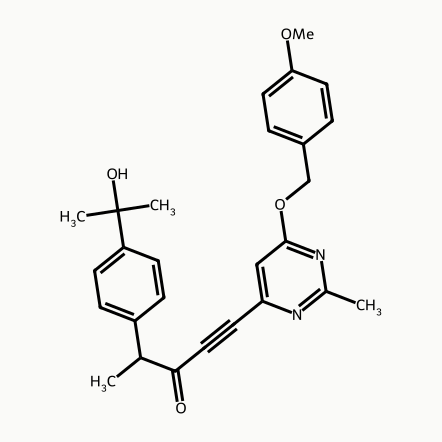 COc1ccc(COc2cc(C#CC(=O)C(C)c3ccc(C(C)(C)O)cc3)nc(C)n2)cc1